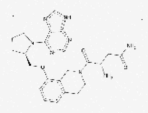 NC(=O)C[C@H](N)C(=O)N1CCc2cccc(OC[C@H]3CCCN3c3ncnc4[nH]cnc34)c2C1